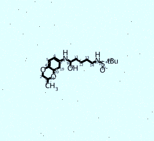 CC1COC2=CC=C(NC(O)CCCCN[S+]([O-])C(C)(C)C)CC2O1